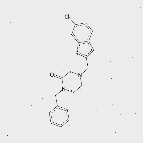 O=C1CN(Cc2cc3ccc(Cl)cc3s2)CCN1Cc1cc[c]cc1